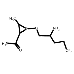 CCCC(N)COP1C(C)C1C(N)=O